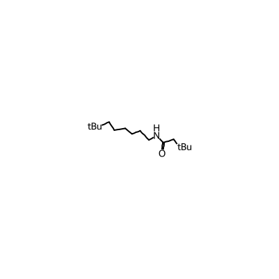 CC(C)(C)CCCCCCNC(=O)CC(C)(C)C